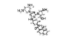 N[C@@H]1C[C@H](N)CN(c2nc(Nc3ccc(NC(=O)c4ccc5ccccc5c4O)cc3)nc(N3C[C@@H](N)C[C@H]3CO)n2)C1